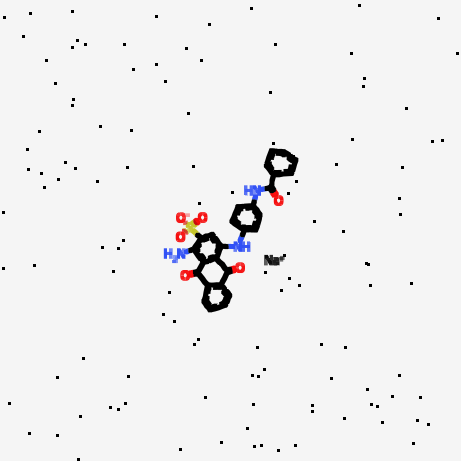 Nc1c(S(=O)(=O)[O-])cc(Nc2ccc(NC(=O)c3ccccc3)cc2)c2c1C(=O)c1ccccc1C2=O.[Na+]